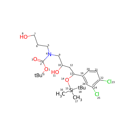 CC(C)(C)OC(=O)N(CCCO)CC(O)CC(O[Si](C)(C)C(C)(C)C)c1ccc(Cl)c(Cl)c1